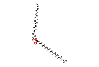 CCCCCCCCCCCCCCCCCCCCCC(=O)OC(=O)CCCCCCCCCCCCCCCCCCCCC